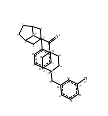 O=C(C1CC2CCC(C1)N2Cc1ccncc1)N1CCN(Cc2cccc(Cl)c2)CC1